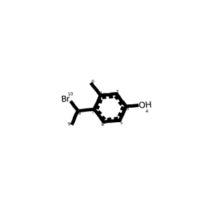 Cc1cc(O)ccc1C(C)Br